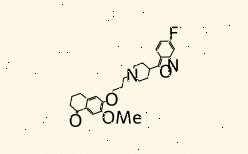 COc1cc2c(cc1OCCCN1CCC(c3onc4cc(F)ccc34)CC1)CCCC2=O